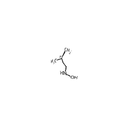 [CH2][C@H](C)CNO